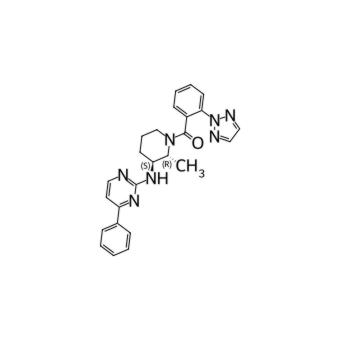 C[C@@H]1[C@@H](Nc2nccc(-c3ccccc3)n2)CCCN1C(=O)c1ccccc1-n1nccn1